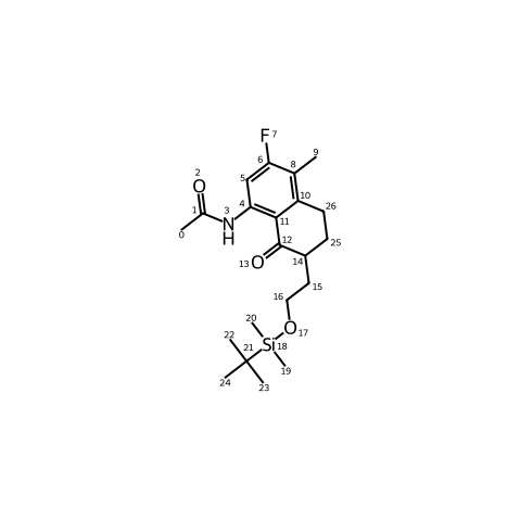 CC(=O)Nc1cc(F)c(C)c2c1C(=O)C(CCO[Si](C)(C)C(C)(C)C)CC2